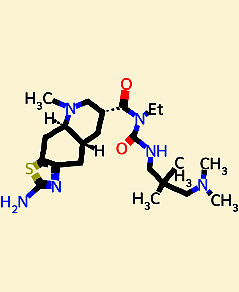 CCN(C(=O)NCC(C)(C)CN(C)C)C(=O)[C@@H]1C[C@@H]2Cc3nc(N)sc3C[C@H]2N(C)C1